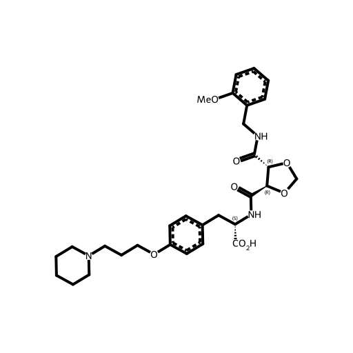 COc1ccccc1CNC(=O)[C@@H]1OCO[C@H]1C(=O)N[C@@H](Cc1ccc(OCCCN2CCCCC2)cc1)C(=O)O